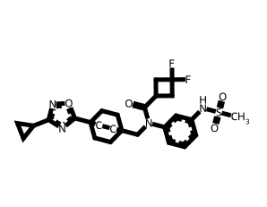 CS(=O)(=O)Nc1cccc(N(CC23CCC(c4nc(C5CC5)no4)(CC2)CC3)C(=O)C2CC(F)(F)C2)c1